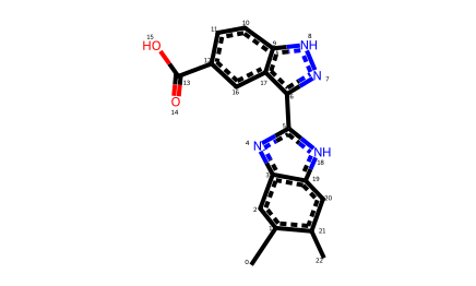 Cc1cc2nc(-c3n[nH]c4ccc(C(=O)O)cc34)[nH]c2cc1C